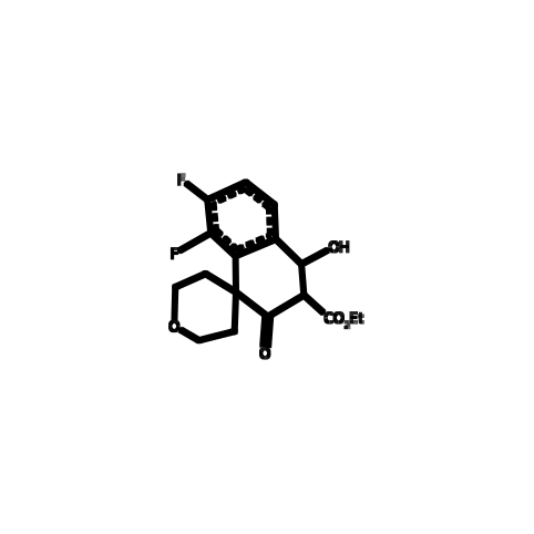 CCOC(=O)C1C(=O)C2(CCOCC2)c2c(ccc(F)c2F)C1O